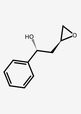 O[C@H](C[C@H]1CO1)c1ccccc1